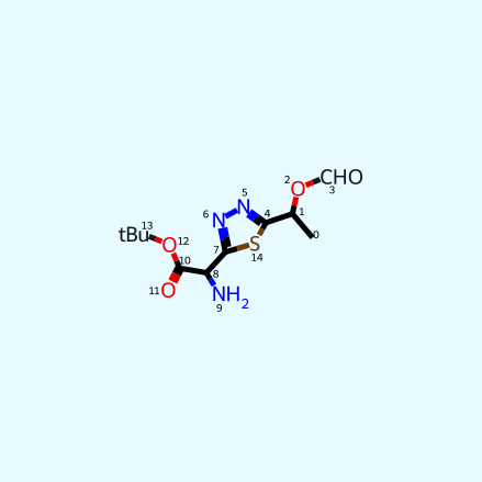 CC(OC=O)c1nnc(C(N)C(=O)OC(C)(C)C)s1